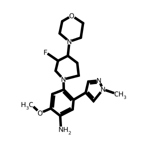 COc1cc(N2CCC(N3CCOCC3)C(F)C2)c(-c2cnn(C)c2)cc1N